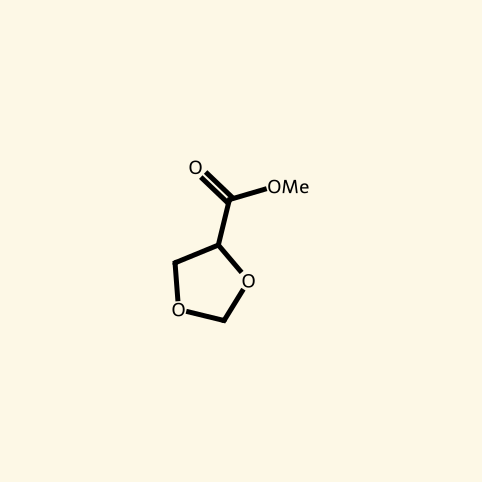 COC(=O)C1COCO1